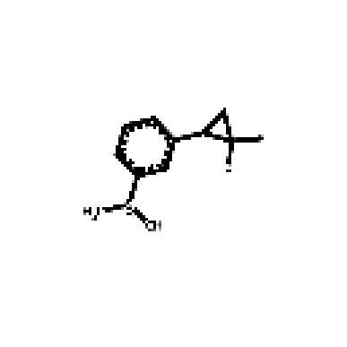 C[SH](C)c1cccc(C2CC2(F)F)c1